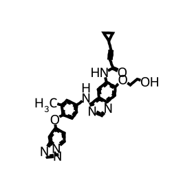 Cc1cc(Nc2ncnc3cc(OCCO)c(NC(=O)C#CC4CC4)cc23)ccc1Oc1ccn2ncnc2c1